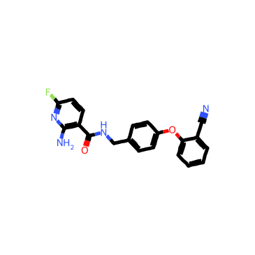 N#Cc1ccccc1Oc1ccc(CNC(=O)c2ccc(F)nc2N)cc1